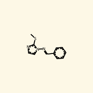 CSc1nccn1N=Cc1ccccc1